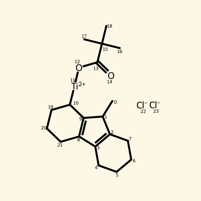 CC1C2=C(CCCC2)C2=C1[CH]([Ti+2][O]C(=O)C(C)(C)C)CCC2.[Cl-].[Cl-]